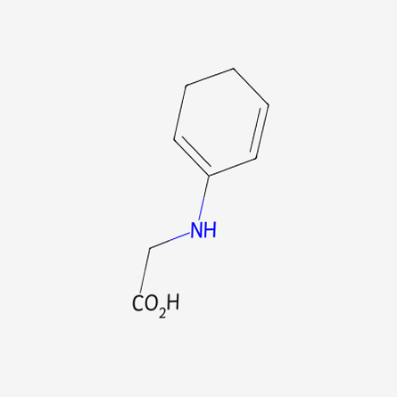 O=C(O)CNC1=CCCC=C1